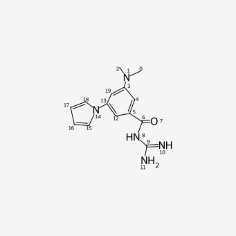 CN(C)c1cc(C(=O)NC(=N)N)cc(-n2cccc2)c1